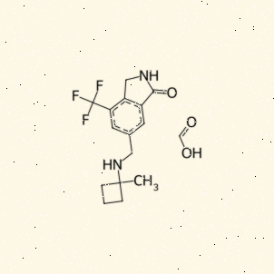 CC1(NCc2cc3c(c(C(F)(F)F)c2)CNC3=O)CCC1.O=CO